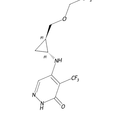 O=C(O)COC[C@@H]1C[C@H]1Nc1cn[nH]c(=O)c1C(F)(F)F